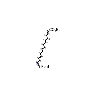 CCCCC/C=C\CC=CCCCCCCCCCC=CC(=O)OCC